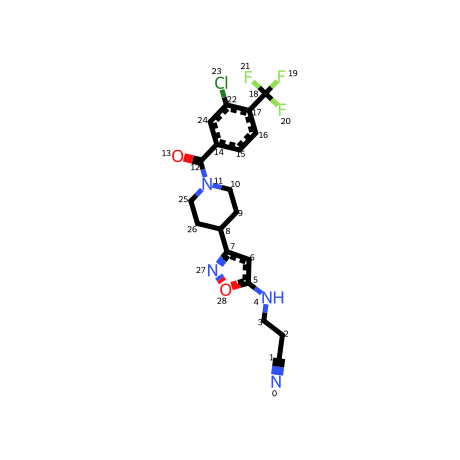 N#CCCNc1cc(C2CCN(C(=O)c3ccc(C(F)(F)F)c(Cl)c3)CC2)no1